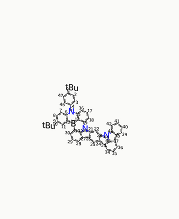 CC(C)(C)c1ccc(N2c3ccc(C(C)(C)C)cc3B3c4c2cccc4-n2c4cc5c(cc4c4cccc3c42)c2cccc3c4ccccc4n5c32)cc1